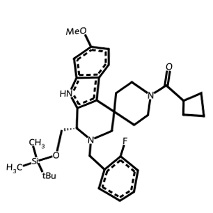 COc1ccc2c3c([nH]c2c1)[C@@H](CO[Si](C)(C)C(C)(C)C)N(Cc1ccccc1F)CC31CCN(C(=O)C2CCC2)CC1